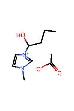 CC(=O)[O-].CCCC(O)[n+]1ccn(C)c1